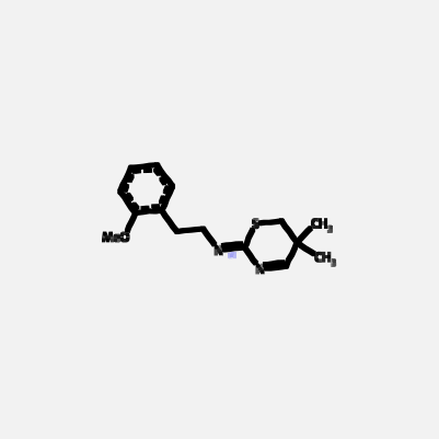 COc1ccccc1CC/N=C1/N=CC(C)(C)CS1